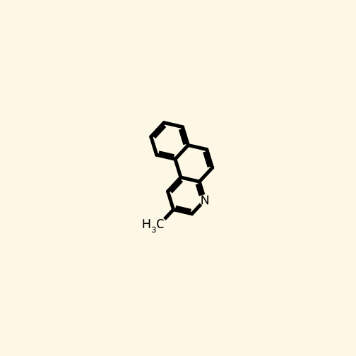 Cc1cnc2ccc3ccccc3c2c1